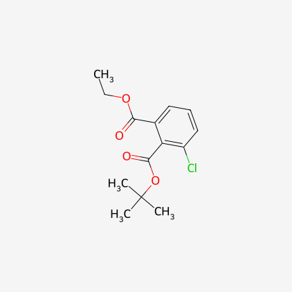 CCOC(=O)c1cccc(Cl)c1C(=O)OC(C)(C)C